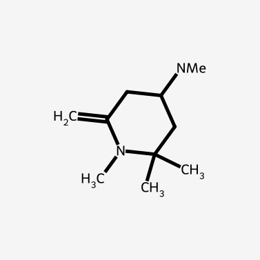 C=C1CC(NC)CC(C)(C)N1C